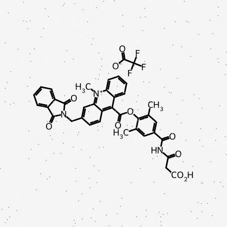 Cc1cc(C(=O)NC(=O)CC(=O)O)cc(C)c1OC(=O)c1c2ccccc2[n+](C)c2cc(CN3C(=O)c4ccccc4C3=O)ccc12.O=C([O-])C(F)(F)F